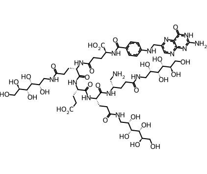 NC[C@H](CCC(=O)NC[C@H](O)[C@@H](O)[C@H](O)[C@H](O)CO)NC(=O)[C@H](CCC(=O)NC[C@H](O)[C@@H](O)[C@H](O)[C@H](O)CO)NC(=O)[C@H](CCC(=O)O)NC(=O)[C@H](CCC(=O)NC[C@H](O)[C@@H](O)[C@H](O)[C@H](O)CO)NC(=O)CC[C@H](NC(=O)c1ccc(NCc2cnc3nc(N)[nH]c(=O)c3n2)cc1)C(=O)O